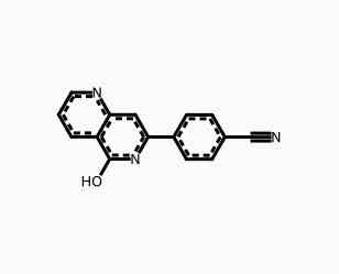 N#Cc1ccc(-c2cc3ncccc3c(O)n2)cc1